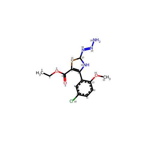 CCOC(=O)C1=C(c2cc(Cl)ccc2OC)NC(N=NN)S1